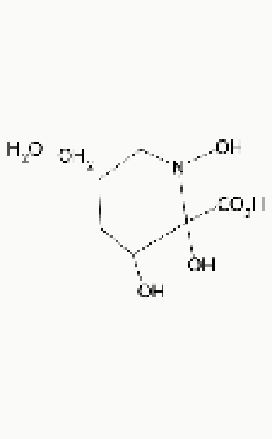 O.O.O=C(O)C1(O)C(O)CCCN1O